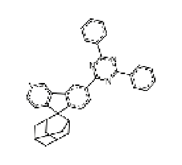 c1ccc(-c2nc(-c3ccccc3)nc(-c3ccc4c(c3)-c3cnccc3C43C4CC5CC(C4)CC3C5)n2)cc1